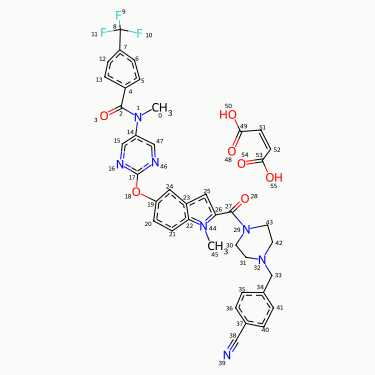 CN(C(=O)c1ccc(C(F)(F)F)cc1)c1cnc(Oc2ccc3c(c2)cc(C(=O)N2CCN(Cc4ccc(C#N)cc4)CC2)n3C)nc1.O=C(O)/C=C\C(=O)O